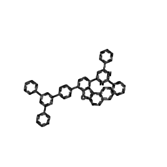 c1ccc(-c2cc(-c3ccccc3)cc(-c3ccc(-c4ccc(-c5cc(-c6ccccc6)nc(-c6ccccc6)n5)c5c4oc4ccc6ccccc6c45)cc3)c2)cc1